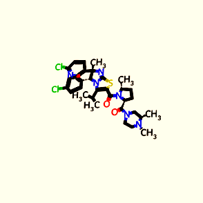 CC(C)C1=C(C(=O)N2[C@H](C)CC[C@H]2C(=O)N2CCN(C)[C@H](C)C2)SC2=N[C@@](C)(c3ccc(Cl)nc3)[C@@H](c3ccc(Cl)cc3)N21